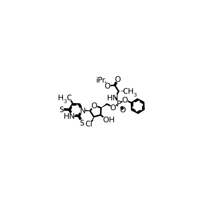 Cc1cn([C@H]2O[C@@H](COP(=O)(N[C@@H](C)C(=O)OC(C)C)Oc3ccccc3)C(O)[C@H]2Cl)c(=S)[nH]c1=S